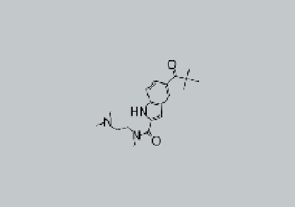 CN(C)CCN(C)C(=O)c1cc2cc(C(=O)C(C)(C)C)ccc2[nH]1